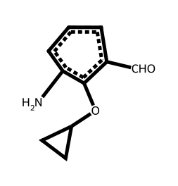 Nc1cccc(C=O)c1OC1CC1